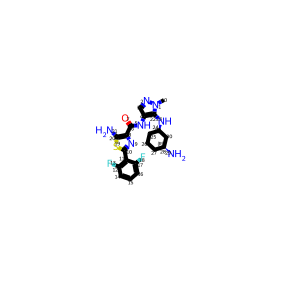 Cn1ncc(NC(=O)c2nc(-c3c(F)cccc3F)sc2N)c1N[C@@H]1CCC[C@@H](N)C1